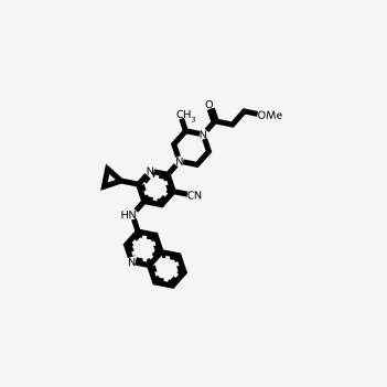 COCCC(=O)N1CCN(c2nc(C3CC3)c(Nc3cnc4ccccc4c3)cc2C#N)CC1C